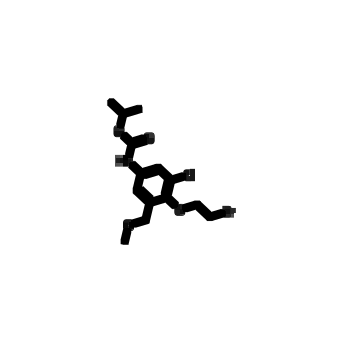 COCc1cc(NC(=O)OC(C)C)cc(Cl)c1OCCBr